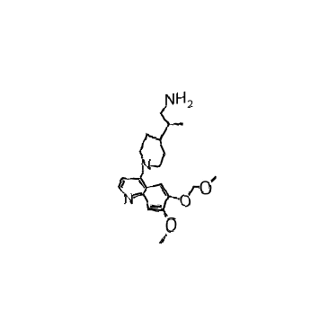 COCOc1cc2c(N3CCC([C@H](C)CN)CC3)ccnc2cc1OC